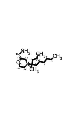 CCCCCCC(C)(CCC)N1CCO[C@H](CN)C1